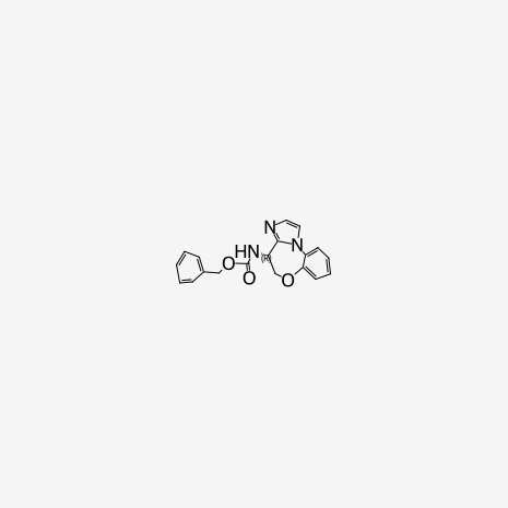 O=C(N[C@H]1COc2ccccc2-n2ccnc21)OCc1ccccc1